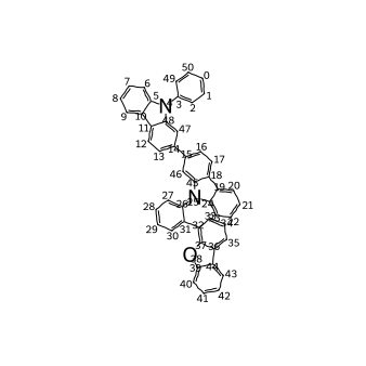 c1ccc(-n2c3ccccc3c3ccc(-c4ccc5c6ccccc6n(-c6ccccc6-c6cccc7c6oc6ccccc67)c5c4)cc32)cc1